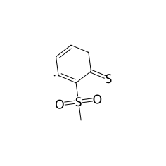 CS(=O)(=O)C1=[C]C=CCC1=S